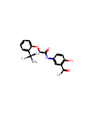 CC(=O)c1cc(NC(=O)COc2ccccc2C(C)(C)C)ccc1O